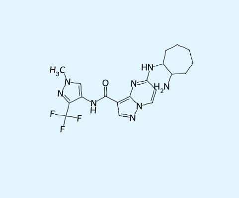 Cn1cc(NC(=O)c2cnn3ccc(NC4CCCCCC4N)nc23)c(C(F)(F)F)n1